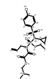 C=CCN(C(=O)C(=O)OCN(C)C)P(=O)(SCC)N(C1CC1)S(=O)(=O)c1ccc(Cl)cc1